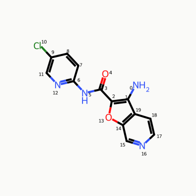 Nc1c(C(=O)Nc2ccc(Cl)cn2)oc2cnccc12